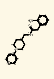 Nc1ccccc1CC(=O)NCC1CCN(c2ccncc2)CC1